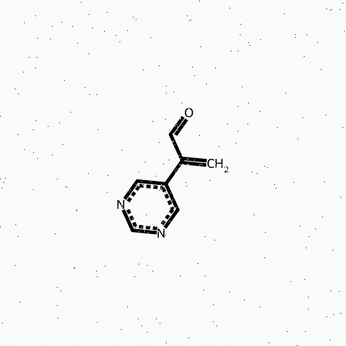 C=C(C=O)c1cncnc1